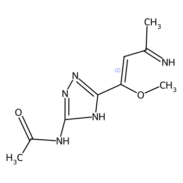 CO/C(=C\C(C)=N)c1nnc(NC(C)=O)[nH]1